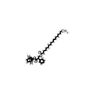 CCCCCCC=CCCCCCCCCCC(=O)OCC(C(=O)O[C@H]1C[C@H]2CC[C@@H](C1)N2C)c1ccccc1